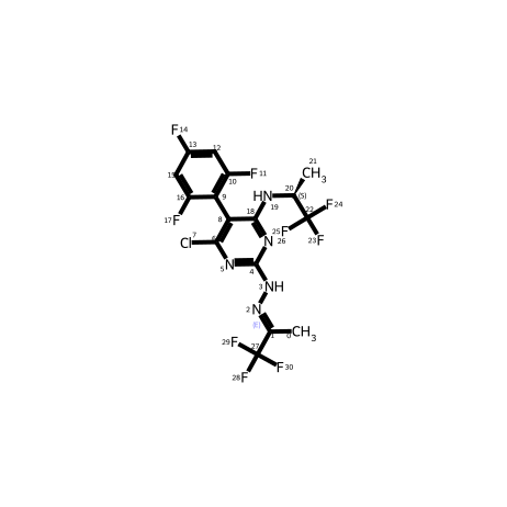 C/C(=N\Nc1nc(Cl)c(-c2c(F)cc(F)cc2F)c(N[C@@H](C)C(F)(F)F)n1)C(F)(F)F